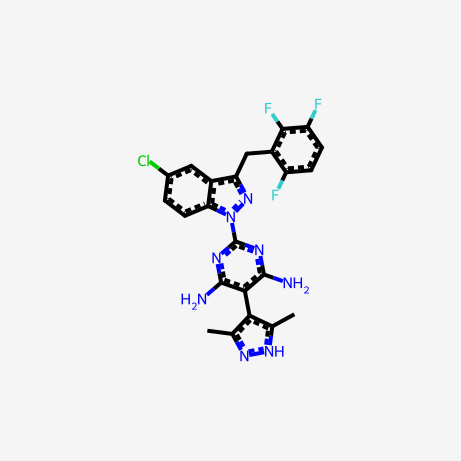 Cc1n[nH]c(C)c1-c1c(N)nc(-n2nc(Cc3c(F)ccc(F)c3F)c3cc(Cl)ccc32)nc1N